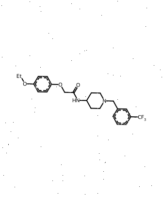 CCOc1ccc(OCC(=O)NC2CCN(Cc3cccc(C(F)(F)F)c3)CC2)cc1